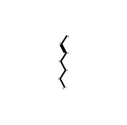 [CH]CCCC=C[CH2]